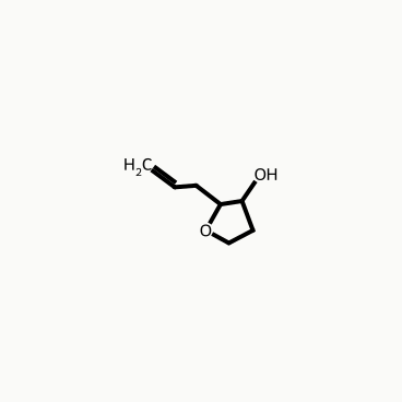 C=CCC1OCCC1O